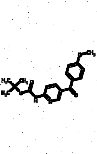 COc1ccc(C(=O)c2ccc(NC(=O)OC(C)(C)C)nc2)cc1